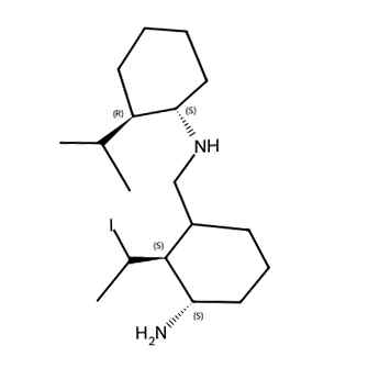 CC(I)[C@H]1C(CN[C@H]2CCCC[C@@H]2C(C)C)CCC[C@@H]1N